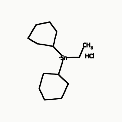 C[CH2][Sn]([CH]1CCCCC1)[CH]1CCCCC1.Cl